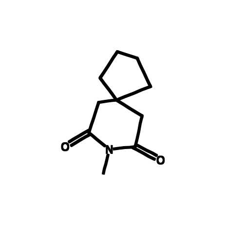 CN1C(=O)CC2(CCCC2)CC1=O